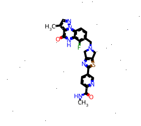 CNC(=O)c1ccc(-c2nc3c(s2)CN(Cc2ccc4c([nH]c(=O)c5c(C)cnn54)c2F)C3)cn1